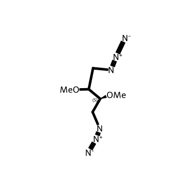 COC(CN=[N+]=[N-])[C@H](CN=[N+]=[N-])OC